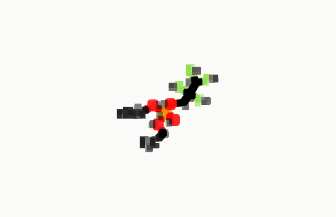 CCCCCCOP(=O)(OCC(F)(F)F)OCC(F)(F)C(F)F